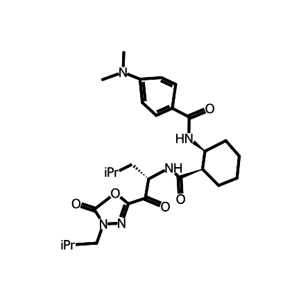 CC(C)C[C@H](NC(=O)[C@@H]1CCCC[C@@H]1NC(=O)c1ccc(N(C)C)cc1)C(=O)c1nn(CC(C)C)c(=O)o1